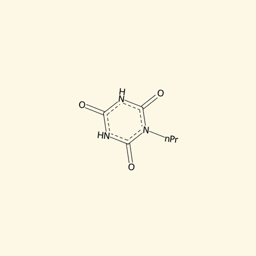 CCCn1c(=O)[nH]c(=O)[nH]c1=O